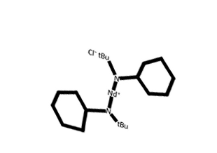 CC(C)(C)[N]([Nd+][N](C1CCCCC1)C(C)(C)C)C1CCCCC1.[Cl-]